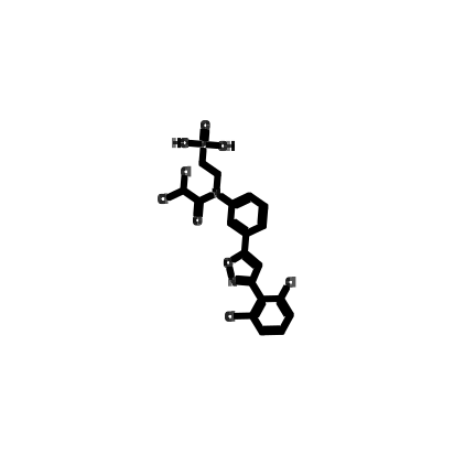 O=C(C(Cl)Cl)N(CCP(=O)(O)O)c1cccc(-c2cc(-c3c(Cl)cccc3Cl)no2)c1